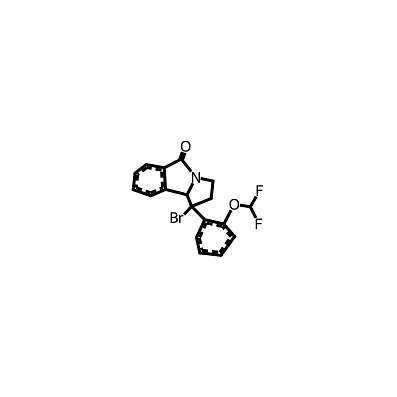 O=C1c2ccccc2C2N1CCC2(Br)c1ccccc1OC(F)F